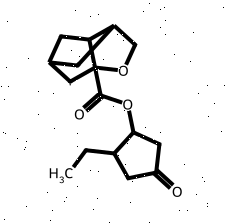 CCC1CC(=O)CC1OC(=O)C12[CH]C3CC(CO1)C2C3